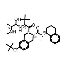 CN[C@@H](C)C(O)N[C@H](C(=O)N1Cc2cc(OC(C)(C)C)ccc2C[C@H]1C(=O)N[C@@H]1CCCc2ccccc21)C(C)(C)C